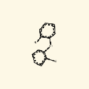 Fc1ccccc1Oc1ccccc1Br